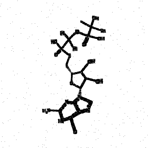 CCC(C)(O)P(=O)(O)OC(CC)(CC)P(=O)(O)SC[C@H]1O[C@@H](n2cnc3c(=O)[nH]c(N)nc32)C(O)C1O